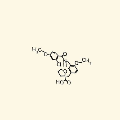 CCOc1ccc(C(=O)NCc2cc(C[C@@]3(C(=O)O)CCCO3)ccc2OCC)c(Cl)c1